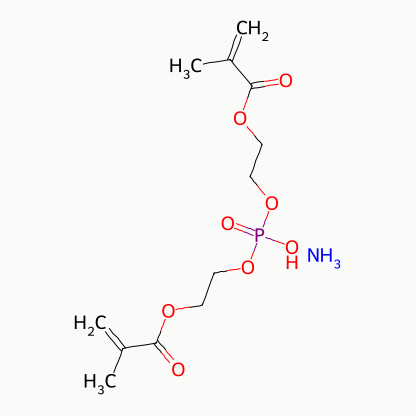 C=C(C)C(=O)OCCOP(=O)(O)OCCOC(=O)C(=C)C.N